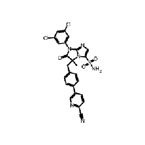 CC1(Cc2ccc(-c3ccc(C#N)nc3)cc2)C(=O)N(c2cc(Cl)cc(Cl)c2)c2ncc(S(N)(=O)=O)n21